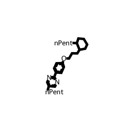 CCCCCc1cnc(-c2ccc(OCCCC3CCCCC3CCCCC)cc2)nc1